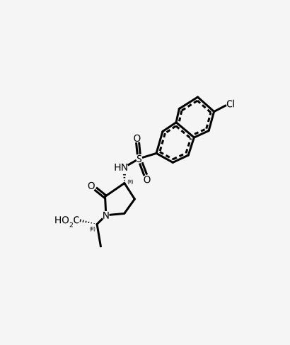 C[C@H](C(=O)O)N1CC[C@@H](NS(=O)(=O)c2ccc3cc(Cl)ccc3c2)C1=O